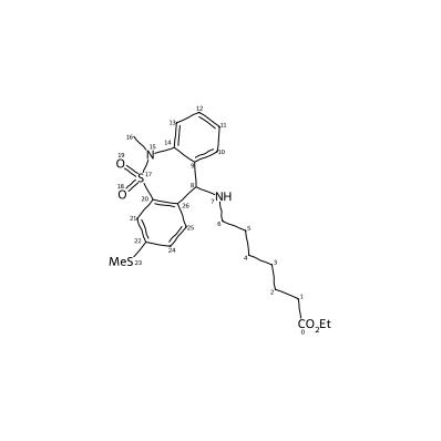 CCOC(=O)CCCCCCNC1c2ccccc2N(C)S(=O)(=O)c2cc(SC)ccc21